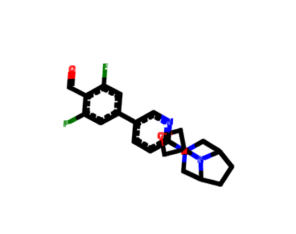 O=Cc1c(F)cc(-c2ccc(N3CC4CCC(C3)N4C3COC3)nc2)cc1F